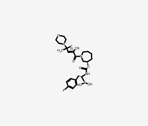 CC(C)(/C=C(\C#N)C(=O)N1CCCC[C@@H](OC(=O)N[C@@H](Cc2ccc(F)cc2)B(O)O)C1)N1CCOCC1